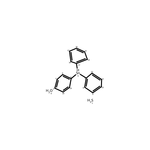 O.S.c1cc[c]([SnH]([c]2ccccc2)[c]2ccccc2)cc1